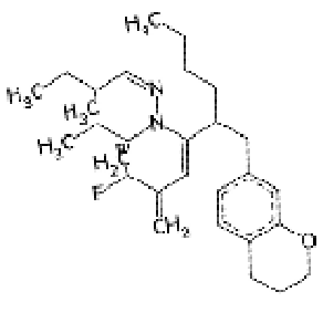 C=C(/C=C(/C(CCCC)Cc1ccc2c(c1)OCCC2)N(/N=C\C(C)CC)C(=C)CC)C(F)F